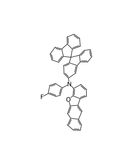 Fc1ccc(N(c2ccc3c(c2)-c2ccccc2C32c3ccccc3-c3ccccc32)c2cccc3c2oc2cc4ccccc4cc23)cc1